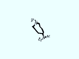 CCN(C(C)=O)C1CCN(C(C)C)CC1